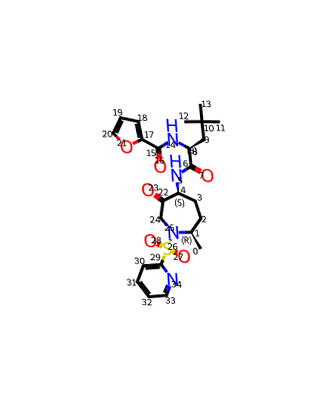 C[C@@H]1CC[C@H](NC(=O)[C@H](CC(C)(C)C)NC(=O)c2ccco2)C(=O)CN1S(=O)(=O)c1ccccn1